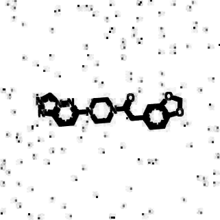 O=C(Cc1ccc2c(c1)OCO2)N1CCN(c2ccc3nncn3n2)CC1